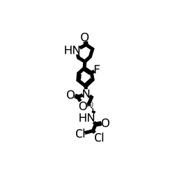 O=C1CCC(c2ccc(N3C[C@H](CNC(=O)C(Cl)Cl)OC3=O)cc2F)CN1